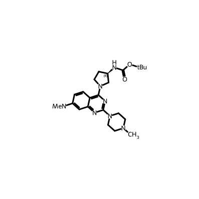 CNc1ccc2c(N3CC[C@@H](NC(=O)OC(C)(C)C)C3)nc(N3CCN(C)CC3)nc2c1